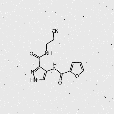 N#CCCNC(=O)c1n[nH]cc1NC(=O)c1ccco1